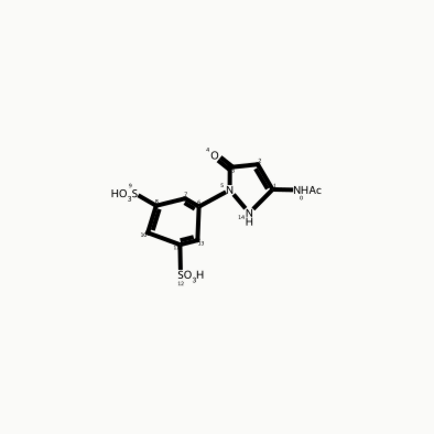 CC(=O)Nc1cc(=O)n(-c2cc(S(=O)(=O)O)cc(S(=O)(=O)O)c2)[nH]1